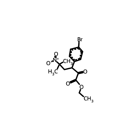 CCOC(=O)C(=O)C(CC(C)(C)[N+](=O)[O-])c1ccc(Br)cc1